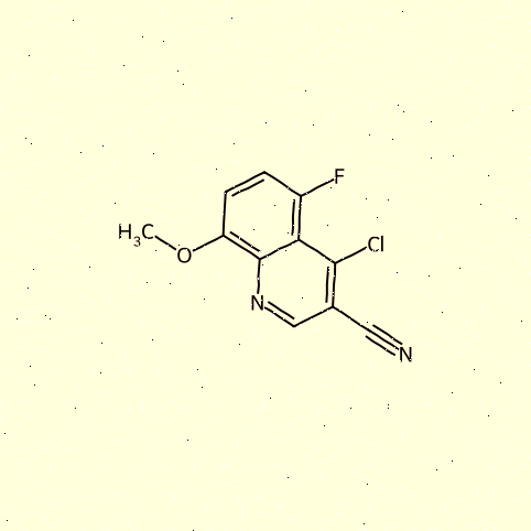 COc1ccc(F)c2c(Cl)c(C#N)cnc12